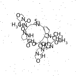 CCn1c(-c2cc(N3CCN4CCOC[C@@H]4C3)cnc2[C@H](C)OC)c2c3cc(ccc31)C1CSC(=N1)C[C@H](NC(=O)N1CCOC[C@@H]1C)C(=O)N1CCC[C@@](C)(N1)C(=O)OCC(C)(C)C2